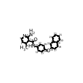 Cc1ccnc(N)c1C(=O)Nc1ccc(Oc2ccc3ccccc3c2)cc1